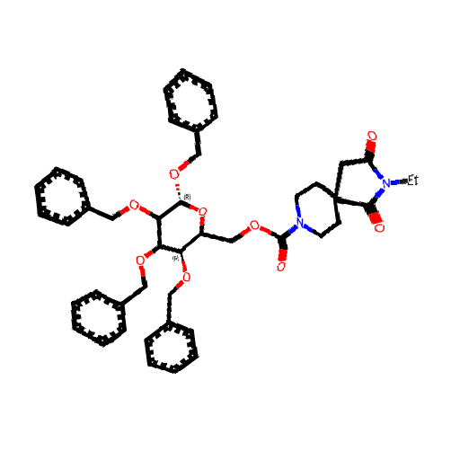 CCN1C(=O)CC2(CCN(C(=O)OCC3O[C@@H](OCc4ccccc4)C(OCc4ccccc4)C(OCc4ccccc4)[C@@H]3OCc3ccccc3)CC2)C1=O